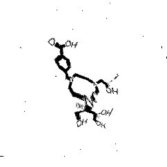 C[C@H](O)CN1CCN(Cc2ccc(C(=O)O)cc2)CCN([C@H](CO)[C@H](O)CO)CC1